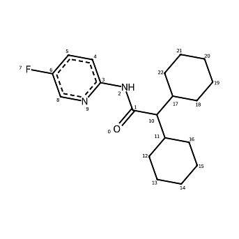 O=C(Nc1ccc(F)cn1)C(C1CCCCC1)C1CCCCC1